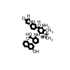 CC1=C(S(C)(=O)=O)C=CC(O)(c2ccccc2)C1N.Nc1ccccc1C(=O)O.O=c1cc[nH][nH]1.Oc1ccc2ccccc2c1